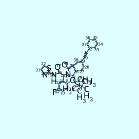 CC(C)(C)[Si](C)(C)Oc1ccc(F)cc1C(C(=O)Nc1nccs1)N1Cc2ccc(C#Cc3ccccc3)cc2C1=O